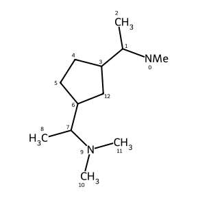 CNC(C)C1CCC(C(C)N(C)C)C1